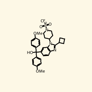 COc1ccc(C(O)(c2ccc(OC)cc2)c2ccc3nc(C4CCC4)n(C4CCN(S(=O)(=O)C(F)(F)F)CC4)c3c2)cc1